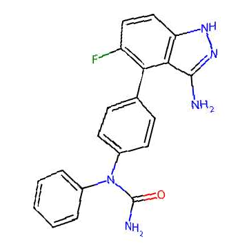 NC(=O)N(c1ccccc1)c1ccc(-c2c(F)ccc3[nH]nc(N)c23)cc1